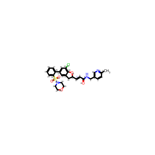 Cc1ccc(CNC(=O)/C=C/C2Cc3cc(-c4ccccc4S(=O)(=O)N4CCOCC4)cc(Cl)c3O2)cn1